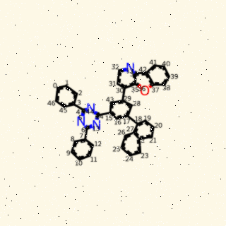 c1ccc(-c2nc(-c3ccccc3)nc(-c3cc(-c4cccc5ccccc45)cc(-c4ccnc5c4oc4ccccc45)c3)n2)cc1